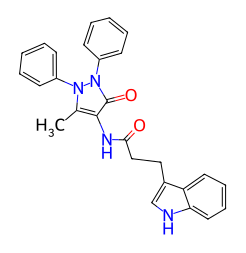 Cc1c(NC(=O)CCc2c[nH]c3ccccc23)c(=O)n(-c2ccccc2)n1-c1ccccc1